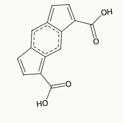 O=C(O)C1=CC=c2cc3c(cc21)=C(C(=O)O)C=C3